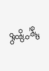 c1ccc(-c2nc3c(-c4ccc(-c5cc(-c6ccccn6)nc(-c6ccccn6)c5)cc4)cccc3c3cc4c(cc23)c2ccccc2n4-c2ccccc2)cc1